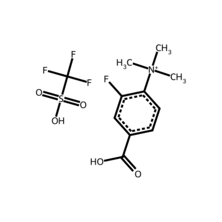 C[N+](C)(C)c1ccc(C(=O)O)cc1F.O=S(=O)(O)C(F)(F)F